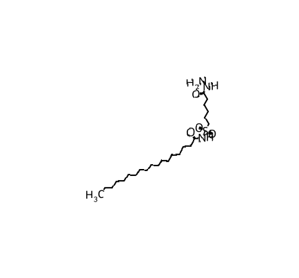 CCCCCCCCCCCCCCCCCC(=O)NS(=O)(=O)CCCCCC(=O)NN